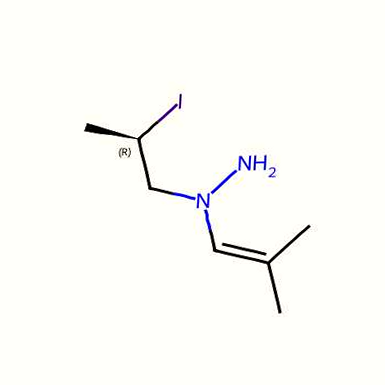 CC(C)=CN(N)C[C@@H](C)I